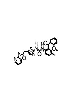 COc1ccccc1C(=O)c1cc(C)ccc1NC(=O)Nc1ncc(Cc2nc3ncccc3o2)s1